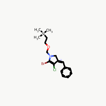 C[Si](C)(C)CCOCN1C/C(=C/c2ccccc2)C(Cl)=C1Br